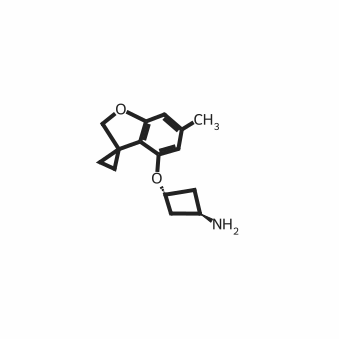 Cc1cc2c(c(O[C@H]3C[C@H](N)C3)c1)C1(CC1)CO2